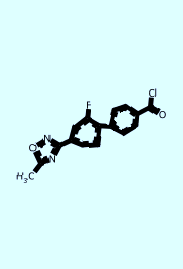 Cc1nc(-c2ccc(-c3ccc(C(=O)Cl)cc3)c(F)c2)no1